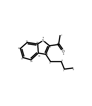 CCCCc1c(C(C)=O)sc2ccccc12